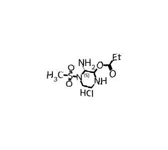 CCC(=O)OC1NCCN(S(C)(=O)=O)[C@@H]1N.Cl